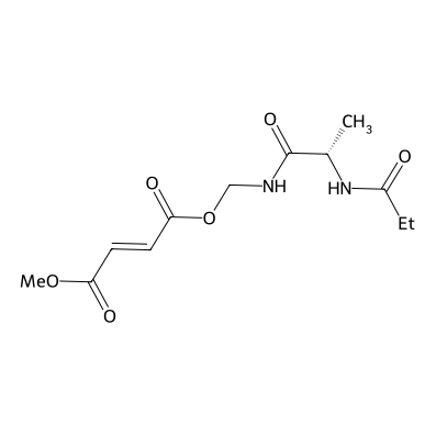 CCC(=O)N[C@@H](C)C(=O)NCOC(=O)/C=C/C(=O)OC